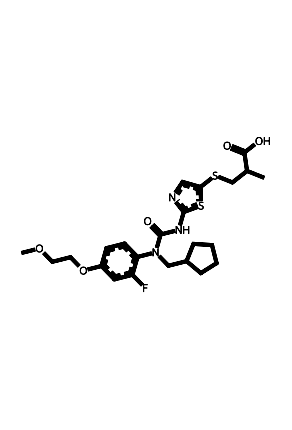 COCCOc1ccc(N(CC2CCCC2)C(=O)Nc2ncc(SCC(C)C(=O)O)s2)c(F)c1